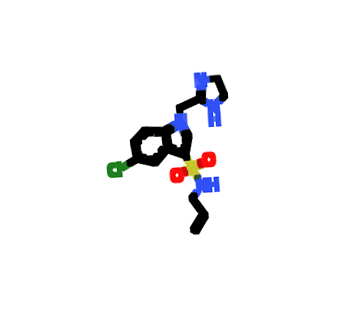 C=CCNS(=O)(=O)c1cn(CC2=NCCN2)c2ccc(Cl)cc12